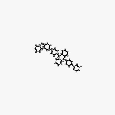 c1ccc(-c2ccc(N3c4ccccc4N(c4ccc(-c5ccc6sc7ccccc7c6c5)cc4)c4ccccc43)cc2)cc1